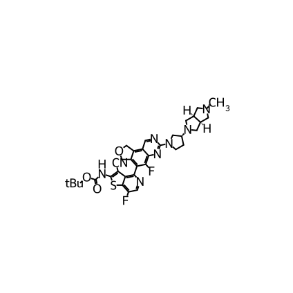 CN1C[C@@H]2CN([C@H]3CCN(c4ncc5c6c(c(-c7ncc(F)c8sc(NC(=O)OC(C)(C)C)c(C#N)c78)c(F)c5n4)COC6)C3)C[C@@H]2C1